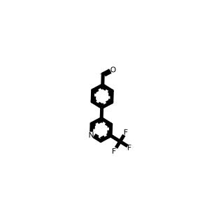 O=[C]c1ccc(-c2cncc(C(F)(F)F)c2)cc1